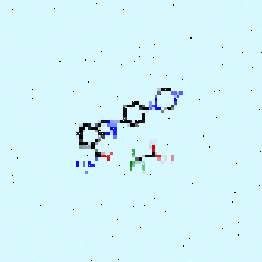 CN1CCN(c2ccc(-n3cc4cccc(C(N)=O)c4n3)cc2)CC1.O=C(O)C(F)(F)F